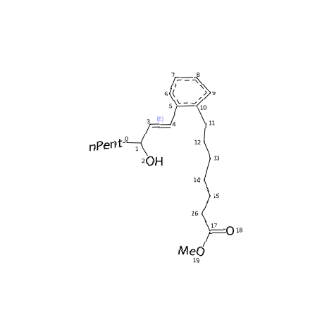 CCCCCC(O)/C=C/c1ccccc1CCCCCCC(=O)OC